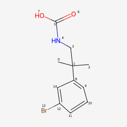 CC(C)(CNC(=O)O)c1cccc(Br)c1